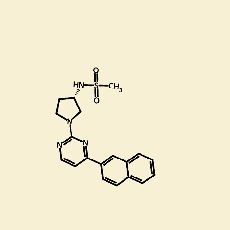 CS(=O)(=O)N[C@H]1CCN(c2nccc(-c3ccc4ccccc4c3)n2)C1